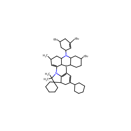 CC1C=C2C3B(C4=C5C(CC(C6CCCCC6)=C4)C4(CCCCC4)C(C)(C)N25)C2CCC(C(C)(C)C)CC2N(C2C=C(C(C)(C)C)CC(C(C)(C)C)C2)C3C1